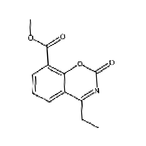 CCc1nc(=O)oc2c(C(=O)OC)cccc12